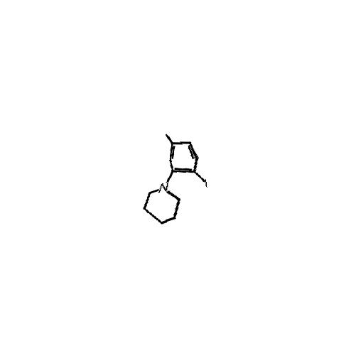 Cc1ccc(I)c(N2CCCCC2)c1